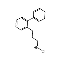 ClNCCCc1ccccc1C1=CCCC=C1